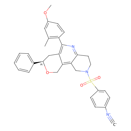 [C-]#[N+]c1ccc(S(=O)(=O)N2CCc3nc(-c4ccc(OC)cc4C)c4c(c3C2)CO[C@@H](c2ccccc2)C4)cc1